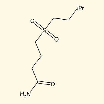 CC(C)CCS(=O)(=O)CCCC(N)=O